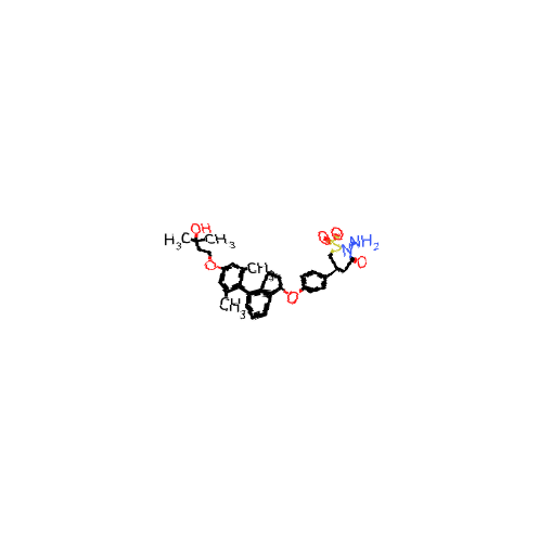 Cc1cc(OCCC(C)(C)O)cc(C)c1-c1cccc2c1CC[C@H]2Oc1ccc(C2CC(=O)N(N)S(=O)(=O)C2)cc1